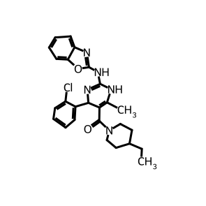 CCC1CCN(C(=O)C2=C(C)NC(Nc3nc4ccccc4o3)=NC2c2ccccc2Cl)CC1